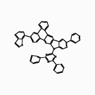 c1ccc(-c2ccc3c(c2)c2cc4c5ccccc5c5cc(-c6cccc7ccsc67)ccc5c4cc2n3-c2nc(-c3ccccc3)nc(-c3ccccc3)n2)cc1